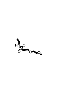 CCNS(=O)(=O)CCOCCOC